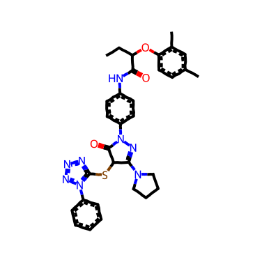 CCC(Oc1ccc(C)cc1C)C(=O)Nc1ccc(N2N=C(N3CCCC3)C(Sc3nnnn3-c3ccccc3)C2=O)cc1